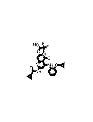 O=C(Nc1cc(Nc2ccccc2OC2CC2)c2c(=O)[nH]ccc2n1)C1CC1.O=C(O)C(F)(F)F